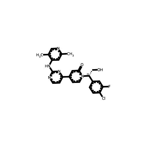 Cc1cc(Nc2nccc(-c3ccn([C@H](CO)c4ccc(Cl)c(F)c4)c(=O)c3)n2)c(C)cn1